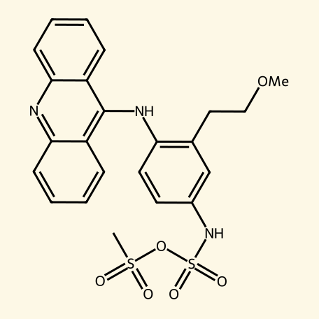 COCCc1cc(NS(=O)(=O)OS(C)(=O)=O)ccc1Nc1c2ccccc2nc2ccccc12